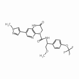 COCC(NC(=O)N1CC(=O)Nc2cc(-c3cnn(C)c3)cnc21)c1ccc(OC(F)(F)F)cc1